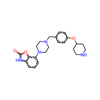 O=c1[nH]c2cccc(N3CCN(Cc4ccc(OC5CCNCC5)cc4)CC3)c2o1